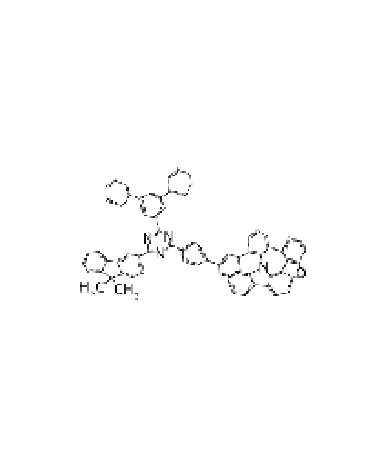 CC1(C)c2ccccc2-c2cc(-c3nc(-c4ccc(-c5cccc(-c6cccc7c8cccc9oc%10ccc%11c%12ccccc%12n(c67)c%11c%10c98)c5)cc4)nc(-c4cc(-c5ccccc5)cc(-c5ccccc5)c4)n3)ccc21